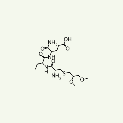 CC[C@H](NC(=O)[C@@H](N)CSC[C@@H](COC)OC)C(=O)N[C@H](CCC(=O)O)C(N)=O